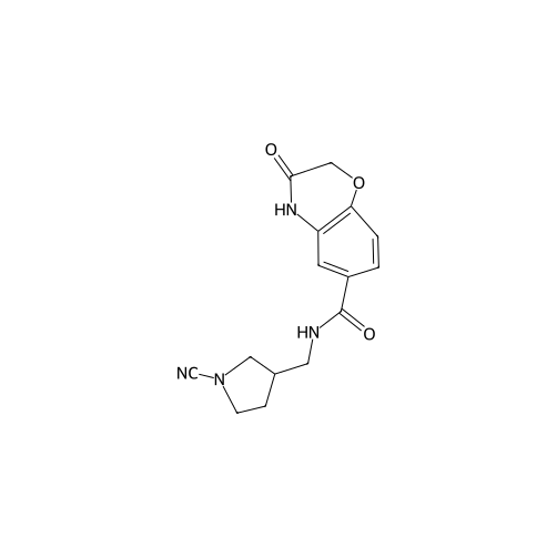 N#CN1CCC(CNC(=O)c2ccc3c(c2)NC(=O)CO3)C1